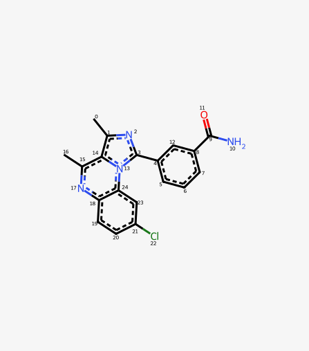 Cc1nc(-c2cccc(C(N)=O)c2)n2c1c(C)nc1ccc(Cl)cc12